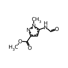 COC(=O)c1cc(NC=O)n(C)n1